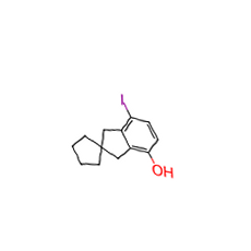 Oc1ccc(I)c2c1CC1(CCCC1)C2